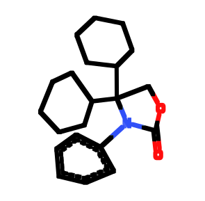 O=C1OCC(C2CCCCC2)(C2CCCCC2)N1c1ccccc1